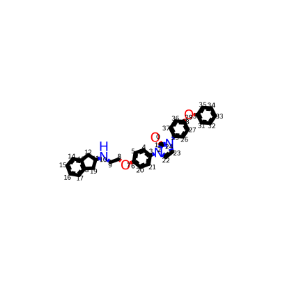 O=c1n(-c2ccc(OCCNC3Cc4ccccc4C3)cc2)ccn1-c1ccc(Oc2ccccc2)cc1